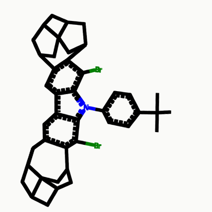 CC(C)(C)c1ccc(-n2c3c(Br)c4c(cc3c3cc5c(c(Br)c32)C2CC3CC6CC5CC63C2)C2CC3CC5CC4CC35C2)cc1